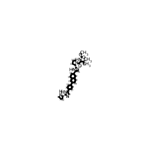 COC(=O)N[C@H](C(=O)N1CCC[C@H]1c1ncc(-c2ccc3cc(-c4ccc(C5CN=C([C@@H]6CCCN6)N5)cc4)ccc3c2)[nH]1)C(C)C